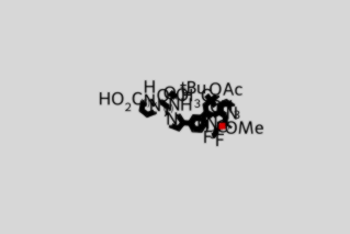 CO[C@@H](C)c1ncccc1-c1c(CC(C)(C)COC(C)=O)c2cc(C3CCN(C[C@H](NC(=O)OC(C)(C)C)C(=O)N4CCC[C@@H](C(=O)O)N4)C3)ccc2n1C(F)C(F)F